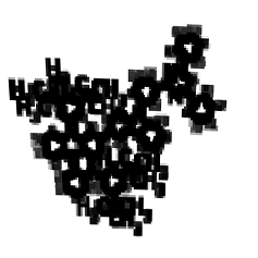 CC(C)(C)c1cc(N2c3ccccc3B3c4ccccc4N(c4cc(C(C)(C)C)cc(C(C)(C)C)c4)c4cc(-c5ccc6c(c5)c5ccccc5n6-c5cccc(-c6nc(-c7ccccc7)cc(-c7ccccc7)n6)c5)cc2c43)cc(C(C)(C)C)c1